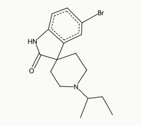 CCC(C)N1CCC2(CC1)C(=O)Nc1ccc(Br)cc12